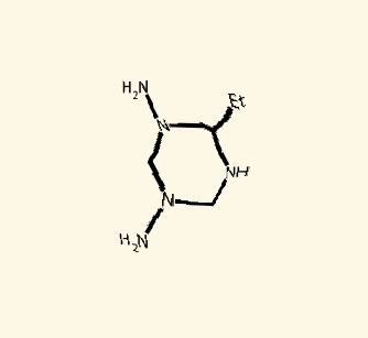 [CH2]CC1NCN(N)CN1N